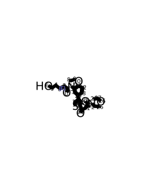 O=C(/C=C/CCO)N1CCOc2ccc(-c3csc4c(=O)cc(N5CCOCC5)oc34)cc21